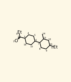 CCC(=O)C1CCC(C2CCC(CC)CC2C)CC1